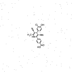 CC1=C(C#N)C(c2ccc(O)c(Cl)c2)C(C#N)=C(c2ccc(C(=O)O)cc2)N1